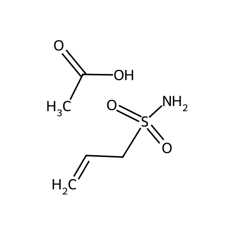 C=CCS(N)(=O)=O.CC(=O)O